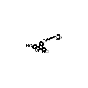 Cl.Oc1ccc2c(c1)OCC(c1ccccc1)C2c1ccc(OCCCCCCN2CCOCC2)cc1